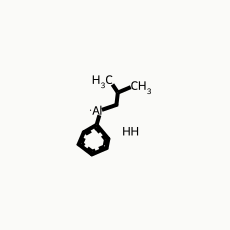 CC(C)[CH2][Al][c]1ccccc1.[HH]